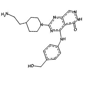 NCCC1CCN(c2nc(Nc3ccc(CO)cc3)c3c(=O)[nH]ncc3n2)CC1